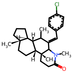 CC1C(=Cc2ccc(Cl)cc2)C2N(C)C(=O)CC[C@]2(C)[C@@H]2CC[C@]3(C)CCC[C@H]3[C@H]12